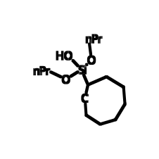 CCCO[Si](O)(OCCC)C1CCCCCCC1